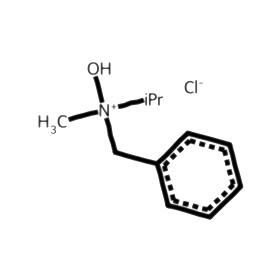 CC(C)[N+](C)(O)Cc1ccccc1.[Cl-]